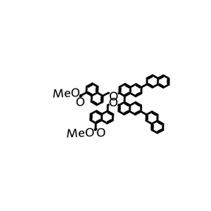 COC(=O)c1cccc2c(COc3ccc4cc(-c5ccc6ccccc6c5)ccc4c3-c3c(OCc4cccc5c(C(=O)OC)cccc45)ccc4cc(-c5ccc6ccccc6c5)ccc34)cccc12